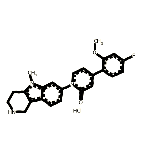 COc1cc(F)ccc1-c1ccn(-c2ccc3c4c(n(C)c3c2)CCNC4)c(=O)c1.Cl